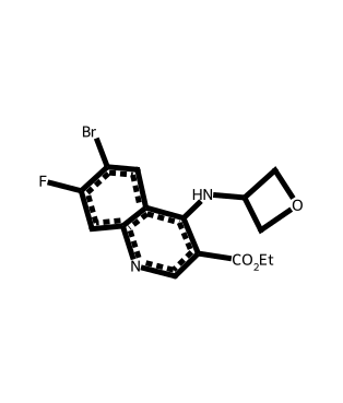 CCOC(=O)c1cnc2cc(F)c(Br)cc2c1NC1COC1